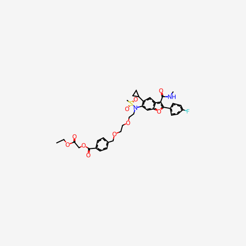 CCOC(=O)COC(=O)c1ccc(COCCOCCN(c2cc3oc(-c4ccc(F)cc4)c(C(=O)NC)c3cc2C2CC2)S(C)(=O)=O)cc1